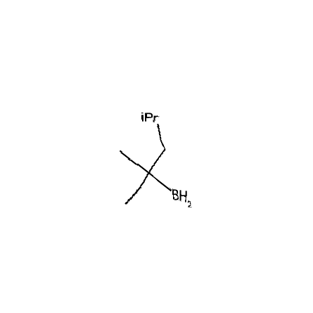 BC(C)(C)CC(C)C